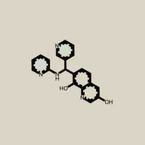 Oc1cnc2c(O)c(C(Nc3ccccn3)c3cccnc3)ccc2c1